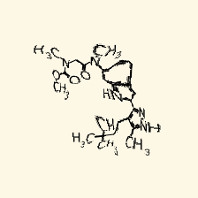 COC(=O)N(C)CC(=O)N(C)c1ccc2cc(-c3n[nH]c(C)c3CCC(C)(C)C)[nH]c2c1